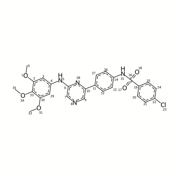 COc1cc(Nc2cncc(-c3ccc(NS(=O)(=O)c4ccc(Cl)cc4)cc3)n2)cc(OC)c1OC